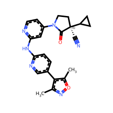 Cc1noc(C)c1-c1ccc(Nc2cc(N3CC[C@@](C#N)(C4CC4)C3=O)ccn2)nc1